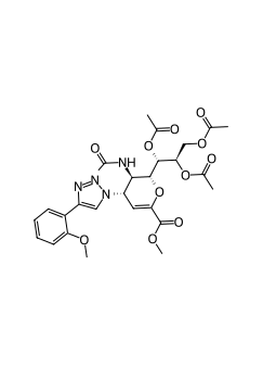 COC(=O)C1=C[C@H](n2cc(-c3ccccc3OC)nn2)[C@@H](NC(C)=O)[C@H]([C@H](OC(C)=O)[C@@H](COC(C)=O)OC(C)=O)O1